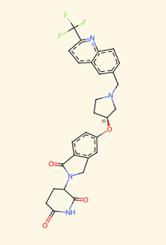 O=C1CCC(N2Cc3cc(O[C@H]4CCN(Cc5ccc6nc(C(F)(F)F)ccc6c5)C4)ccc3C2=O)C(=O)N1